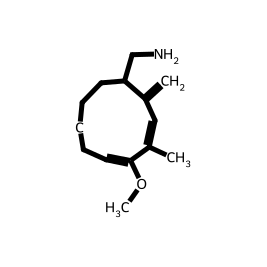 C=C1/C=C(C)\C(OC)=C/CCCCC1CN